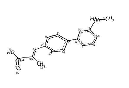 CNc1cccc(-c2ccc(/C=C(\C)C(=O)O)cc2)c1